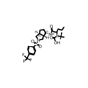 CCCC(C(=O)N[C@H]1CC[C@@H]2CN(S(=O)(=O)c3ccc(C(F)(F)F)cc3)C[C@@H]21)N(C(=O)O)C(C)(C)C